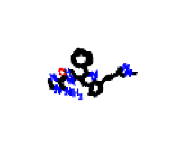 CC(NC(=O)c1nccnc1N)c1cc2cccc(C#Cc3cnn(C)c3)c2nc1-c1ccccc1